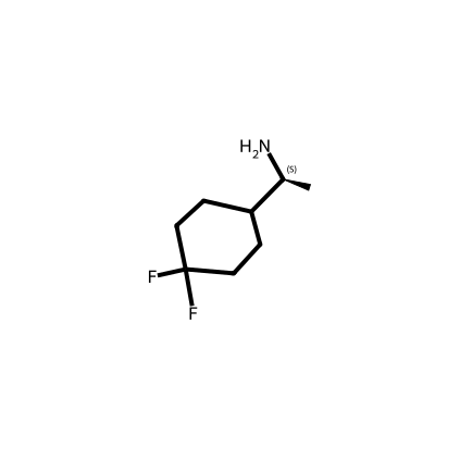 C[C@H](N)C1CCC(F)(F)CC1